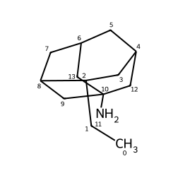 CCC1CC2CC3CC1CC(N)(C2)C3